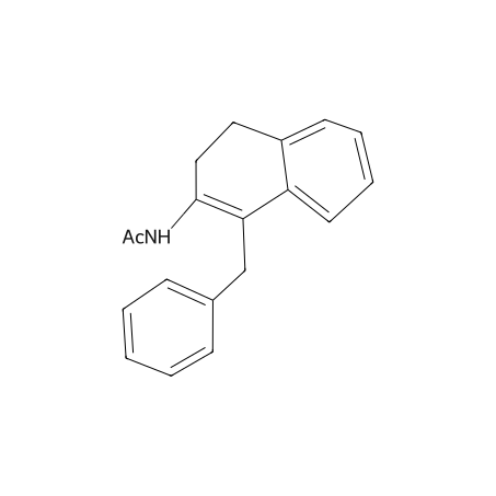 CC(=O)NC1=C(Cc2ccccc2)c2ccccc2CC1